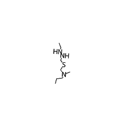 CCCN(C)CSCNNCC